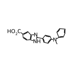 CN(c1ccccc1)c1ccc(-c2nc3cc(C(=O)O)ccc3[nH]2)cc1